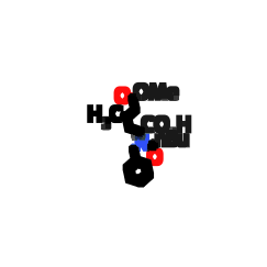 CCCCC(=O)N(Cc1ccccc1)[C@@H](CC(C)CC(=O)OC)C(=O)O